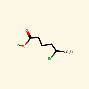 CCOC(=O)C(Br)CCCC(=O)OBr